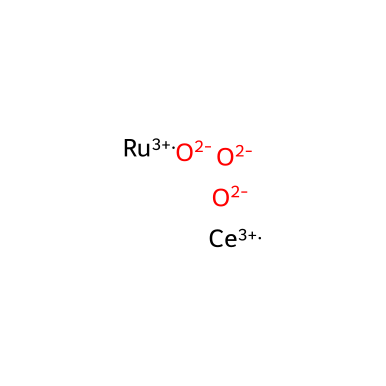 [Ce+3].[O-2].[O-2].[O-2].[Ru+3]